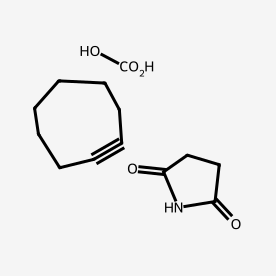 C1#CCCCCCC1.O=C(O)O.O=C1CCC(=O)N1